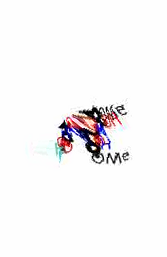 COc1ccc2c(c1)OC(C(=O)NC(CO)c1ccccc1OC)CC2NC(=O)C1(c2ccc3c(c2)OC(F)(F)O3)CC1